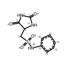 O=C1NC(=O)C(CS(=O)(=O)Nc2ccccc2)N1